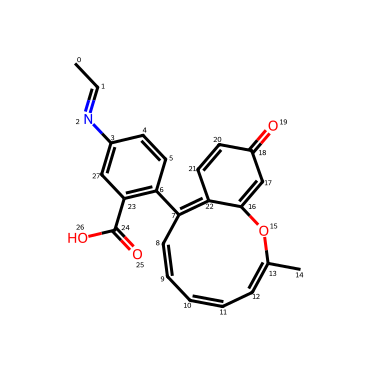 CC=Nc1ccc(-c2cccccc(C)oc3cc(=O)ccc2-3)c(C(=O)O)c1